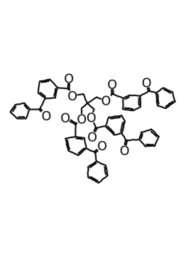 O=C(OCC(COC(=O)c1cccc(C(=O)c2ccccc2)c1)(COC(=O)c1cccc(C(=O)c2ccccc2)c1)COC(=O)c1cccc(C(=O)c2ccccc2)c1)c1cccc(C(=O)c2ccccc2)c1